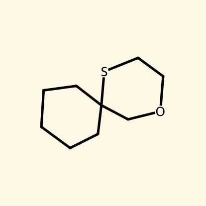 C1CCC2(CC1)COCCS2